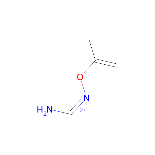 C=C(C)O/N=C\N